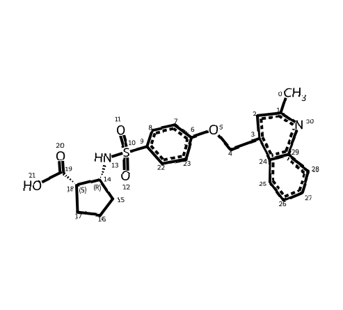 Cc1cc(COc2ccc(S(=O)(=O)N[C@@H]3CCC[C@@H]3C(=O)O)cc2)c2ccccc2n1